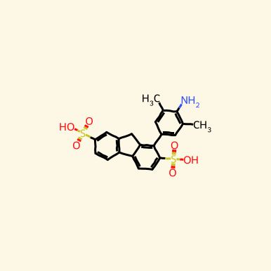 Cc1cc(-c2c(S(=O)(=O)O)ccc3c2Cc2cc(S(=O)(=O)O)ccc2-3)cc(C)c1N